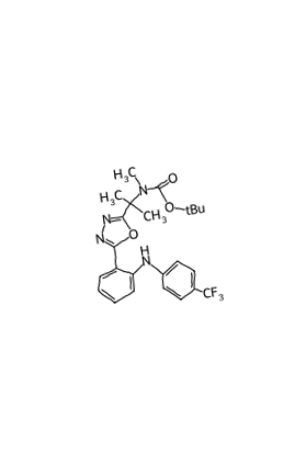 CN(C(=O)OC(C)(C)C)C(C)(C)c1nnc(-c2ccccc2Nc2ccc(C(F)(F)F)cc2)o1